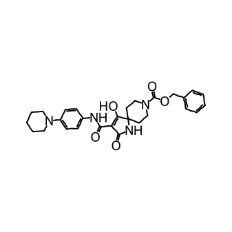 O=C(Nc1ccc(N2CCCCC2)cc1)C1=C(O)C2(CCN(C(=O)OCc3ccccc3)CC2)NC1=O